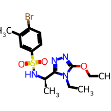 CCOc1nnc([C@@H](C)NS(=O)(=O)c2ccc(Br)c(C)c2)n1CC